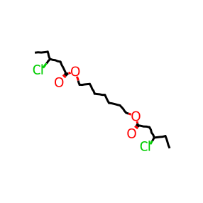 CCC(Cl)CC(=O)OCCCCCCCOC(=O)CC(Cl)CC